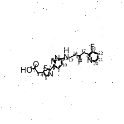 O=C(O)Cc1cnc(-c2ccc(NCC[C@H](F)Cc3ncccc3F)nn2)s1